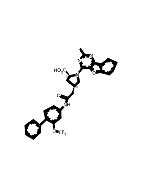 Cc1nc(N2C[C@@H](CC(=O)Nc3ccc(-c4ccccc4)c(OC(F)(F)F)c3)C[C@H]2C(=O)O)c2oc3ccccc3c2n1